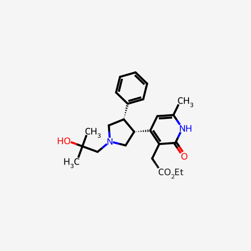 CCOC(=O)Cc1c([C@@H]2CN(CC(C)(C)O)C[C@@H]2c2ccccc2)cc(C)[nH]c1=O